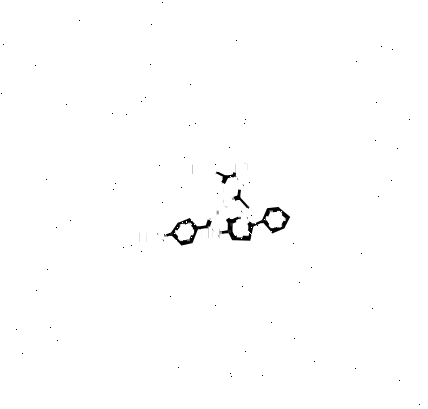 CC(C)C(NC(=O)Cn1c(-c2ccccc2)ccc(NC(=O)c2ccc(N)cc2)c1=O)C(=O)C(F)(F)F